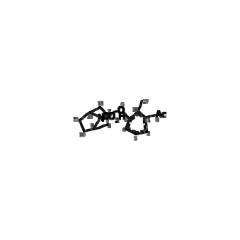 CC(=O)c1cccc(OC2CC3CCC(C2)N3C(=O)O)c1C